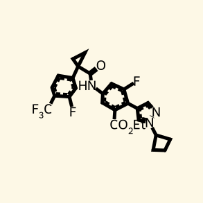 CCOC(=O)c1cc(NC(=O)C2(c3ccc(C(F)(F)F)c(F)c3)CC2)cc(F)c1-c1cnn(C2CCC2)c1